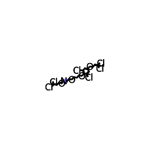 ClC(Cl)=CCO/N=C/COCCCOc1c(Cl)cc(OCC=C(Cl)Cl)cc1Cl